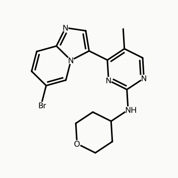 Cc1cnc(NC2CCOCC2)nc1-c1cnc2ccc(Br)cn12